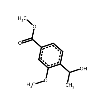 COC(=O)c1ccc(C(C)O)c(OC)c1